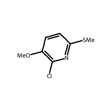 COc1ccc(SC)nc1Cl